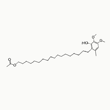 COc1cc(C)c(CCCCCCCCCCCCCCCCCCOC(C)=O)c(O)c1OC